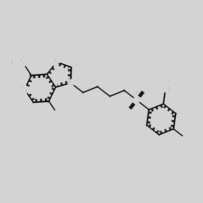 Cc1cnc(N)c2ncn(CCCCS(=O)(=O)c3ccc(Cl)cc3Cl)c12